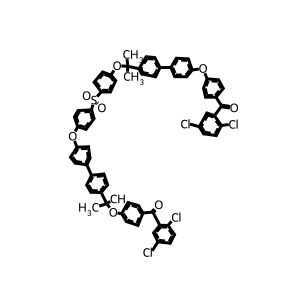 CC(C)(Oc1ccc(C(=O)c2cc(Cl)ccc2Cl)cc1)c1ccc(-c2ccc(Oc3ccc(S(=O)(=O)c4ccc(OC(C)(C)c5ccc(-c6ccc(Oc7ccc(C(=O)c8cc(Cl)ccc8Cl)cc7)cc6)cc5)cc4)cc3)cc2)cc1